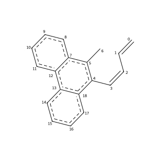 C=C/C=C\c1c(C)c2ccccc2c2ccccc12